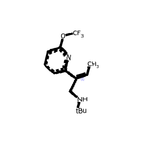 C/C=C(/CNC(C)(C)C)c1cccc(OC(F)(F)F)n1